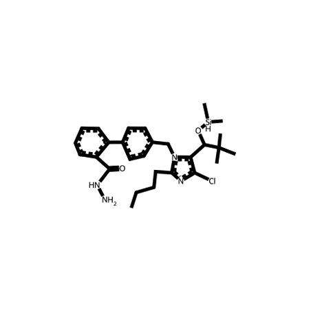 CCCCc1nc(Cl)c(C(O[SiH](C)C)C(C)(C)C)n1Cc1ccc(-c2ccccc2C(=O)NN)cc1